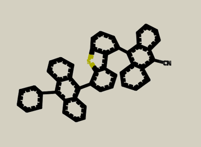 N#Cc1c2ccccc2c(-c2cccc3sc4c(-c5c6ccccc6c(-c6ccccc6)c6ccccc56)cccc4c23)c2ccccc12